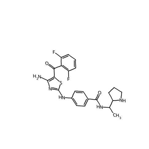 CC(NC(=O)c1ccc(Nc2nc(N)c(C(=O)c3c(F)cccc3F)s2)cc1)C1CCCN1